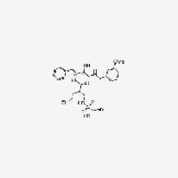 CCSCC(CNS(=O)(=O)CC(C)C)C(=O)N[C@@H](Cc1ccccc1)[C@@H](O)CNCc1cccc(OC)c1.Cl